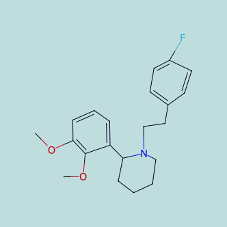 COc1cccc(C2CCCCN2CCc2ccc(F)cc2)c1OC